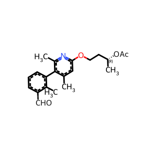 CC(=O)O[C@H](C)CCOc1cc(C)c(-c2cccc(C=O)c2C)c(C)n1